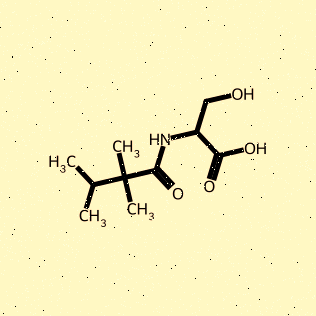 CC(C)C(C)(C)C(=O)NC(CO)C(=O)O